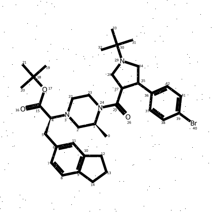 C[C@H]1CN([C@@H](Cc2ccc3c(c2)CCC3)C(=O)OC(C)(C)C)CCN1C(=O)C1CN(C(C)(C)C)CC1c1ccc(Br)cc1